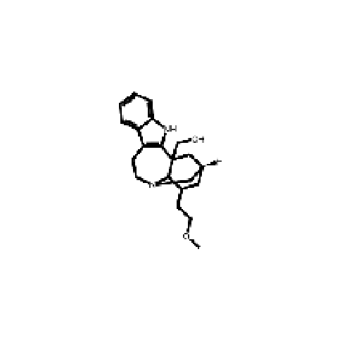 COCCC1C[C@@H]2CN3CCc4c([nH]c5ccccc45)C(CO)(C2)C13